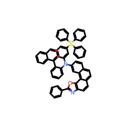 c1ccc(-c2nc3ccc4ccc5ccc(N(c6cccc(S(c7ccccc7)(c7ccccc7)c7ccccc7)c6)c6ccccc6-c6cccc7ccccc67)cc5c4c3o2)cc1